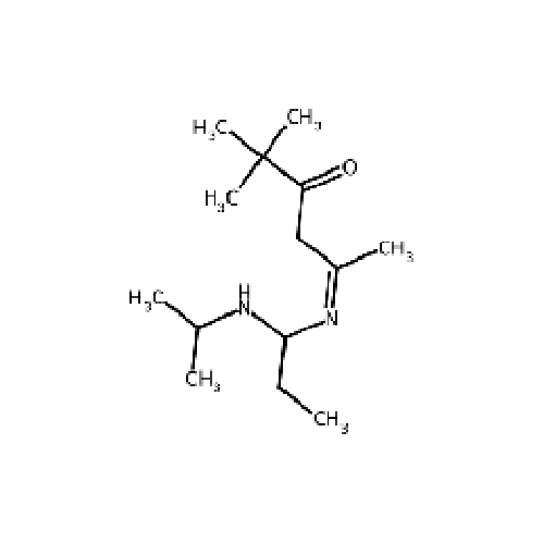 CCC(N=C(C)CC(=O)C(C)(C)C)NC(C)C